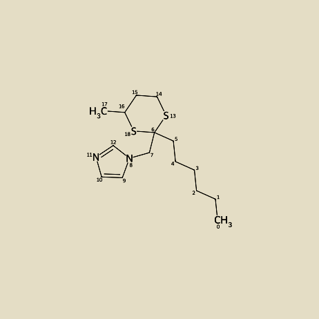 CCCCCCC1(Cn2ccnc2)SCCC(C)S1